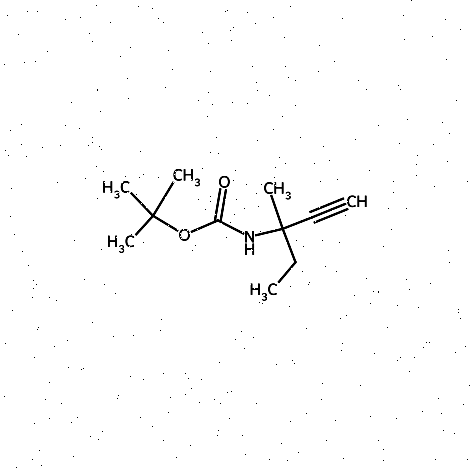 C#CC(C)(CC)NC(=O)OC(C)(C)C